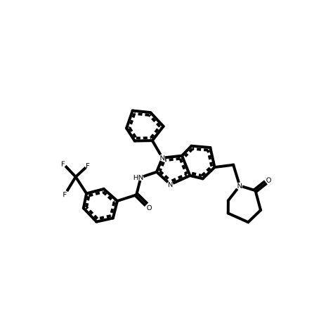 O=C(Nc1nc2cc(CN3CCCCC3=O)ccc2n1-c1ccccc1)c1cccc(C(F)(F)F)c1